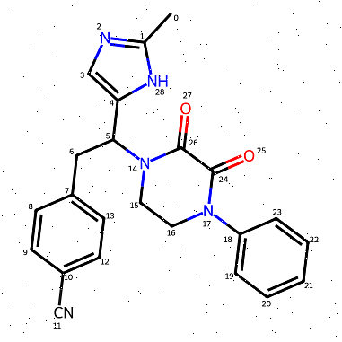 Cc1ncc(C(Cc2ccc(C#N)cc2)N2CCN(c3ccccc3)C(=O)C2=O)[nH]1